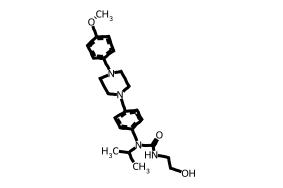 COc1ccc(N2CCN(c3ccc(N(C(=O)NCCO)C(C)C)cc3)CC2)cc1